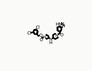 O=C(OCc1cc(Cl)cc(Cl)c1)N1CCC(NC2CCN(C(=O)c3ccc4[nH]nnc4c3)CC2)C1